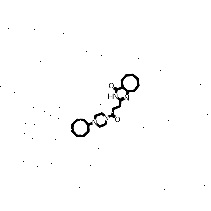 O=C1NC(CCC(=O)N2CCN(C3CCCCCCC3)CC2)=NC2CCCCCCC12